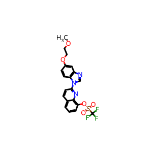 COCCOc1ccc2c(c1)ncn2-c1ccc2cccc(OS(=O)(=O)C(F)(F)F)c2n1